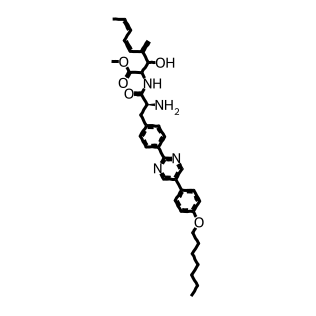 C=C(/C=C\C=C/C)C(O)C(NC(=O)[C@@H](N)Cc1ccc(-c2ncc(-c3ccc(OCCCCCCC)cc3)cn2)cc1)C(=O)OC